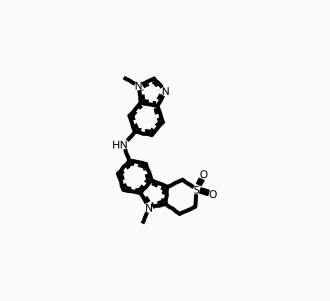 Cn1cnc2ccc(Nc3ccc4c(c3)c3c(n4C)CCS(=O)(=O)C3)cc21